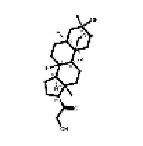 COC[C@]12CC[C@@](C)(O)C[C@@H]1CC[C@H]1[C@@H]3CC[C@H](C(=O)CO)[C@@]3(C)CC[C@@H]12